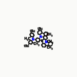 Cc1cc2c3c(c1)N1c4c(cccc4C4(C)CCCCC14C)B3c1ccc(N(c3ccc(C(C)(C)C)cc3C)c3ccc(C(C)(C)C)cc3C)cc1N2c1ccc(C(C)(C)C)cc1-c1ccccc1